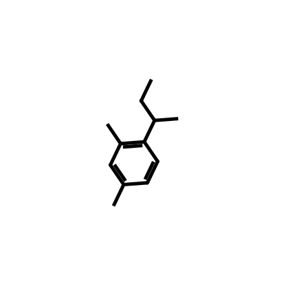 CC[C](C)c1ccc(C)cc1C